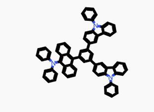 c1ccc(N(c2ccccc2)c2c3ccccc3c(-c3cc(-c4ccc5c(c4)c4ccccc4n5-c4ccccc4)cc(-c4ccc5c(c4)c4ccccc4n5-c4ccccc4)c3)c3ccccc23)cc1